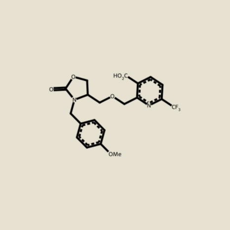 COc1ccc(CN2C(=O)OCC2COCc2nc(C(F)(F)F)ccc2C(=O)O)cc1